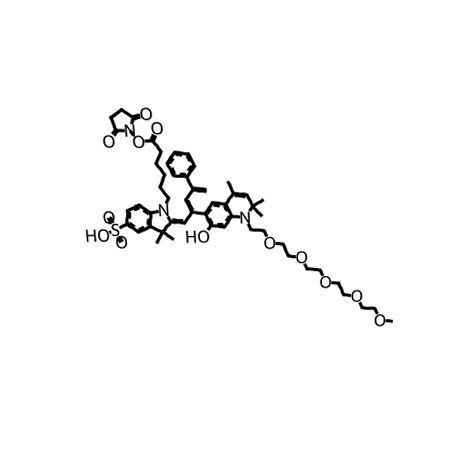 C=C(/C=C(/C=C1\N(CCCCCC(=O)ON2C(=O)CCC2=O)c2ccc(S(=O)(=O)O)cc2C1(C)C)c1cc2c(cc1O)N(CCOCCOCCOCCOCCOC)C(C)(C)C=C2C)c1ccccc1